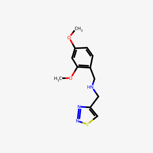 COc1ccc(CNCc2csnn2)c(OC)c1